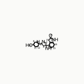 CCCC(CN)(CCc1ccc(O)cc1)c1cccc2c1CC(=O)N2